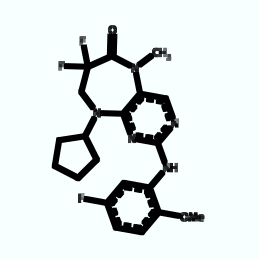 COc1ccc(F)cc1Nc1ncc2c(n1)N(C1CCCC1)CC(F)(F)C(=O)N2C